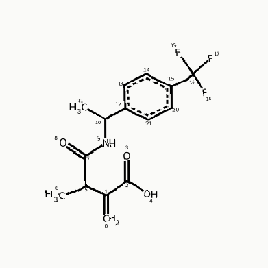 C=C(C(=O)O)C(C)C(=O)NC(C)c1ccc(C(F)(F)F)cc1